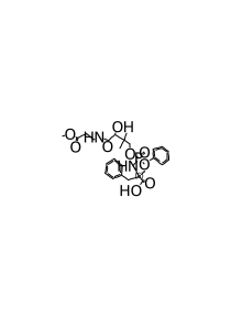 COC(=O)CCNC(=O)C(O)C(C)(C)COP(=O)(N[C@@](C)(Cc1ccccc1)C(=O)O)Oc1ccccc1